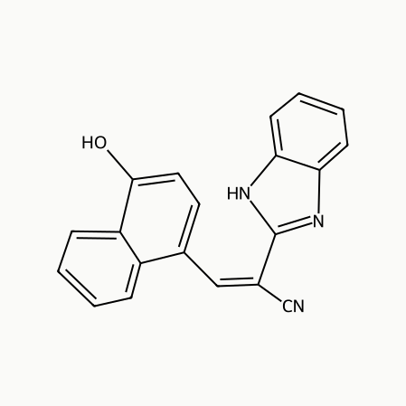 N#CC(=Cc1ccc(O)c2ccccc12)c1nc2ccccc2[nH]1